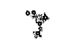 COc1cc(C2COC(c3cc(OC)c(OC)c(OC)c3)C2)cc(CC#CN(O)C(=O)c2ccccc2Oc2ccccc2)c1OC(C)Sc1c(F)c(F)cc(F)c1F